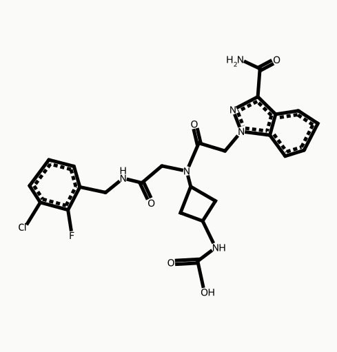 NC(=O)c1nn(CC(=O)N(CC(=O)NCc2cccc(Cl)c2F)C2CC(NC(=O)O)C2)c2ccccc12